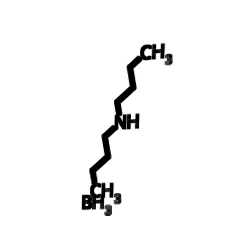 B.CCCCNCCCC